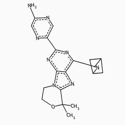 CC1(C)OCCn2c1nc1c(N3CC4CC3C4)nc(-c3cnc(N)cn3)nc12